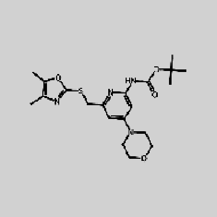 Cc1nc(SCc2cc(N3CCOCC3)cc(NC(=O)OC(C)(C)C)n2)oc1C